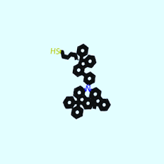 CC1(C)c2ccccc2-c2ccc(N(c3cccc(-c4cccc5c4-c4ccccc4[C@]5(C/C=C\C=C/CS)c4ccccc4)c3)c3cccc4c3-c3ccccc3C4(c3ccccc3)c3ccccc3)cc21